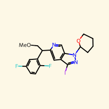 COCC(c1cc2c(I)nn(C3CCCCO3)c2cn1)c1cc(F)ccc1F